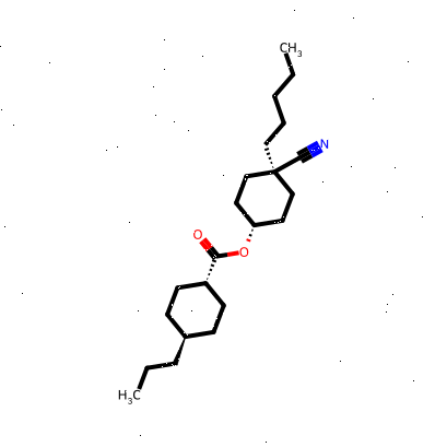 CCCCC[C@]1(C#N)CC[C@H](OC(=O)[C@H]2CC[C@H](CCC)CC2)CC1